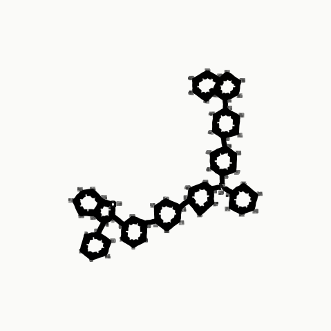 c1ccc(-c2c(-c3cccc(-c4ccc(-c5ccc(N(c6ccccc6)c6ccc(-c7ccc(-c8cccc9ccccc89)cc7)cc6)cc5)cc4)c3)oc3ccccc23)cc1